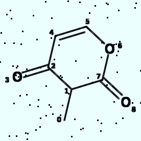 CC1C(=O)C=COC1=O